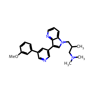 COc1cccc(-c2cncc(-c3cn(CC(C)CN(C)C)c4cccnc34)c2)c1